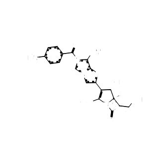 CSc1c2sc(C3=C(C(=O)[O-])N4C(=O)[C@H]([C@@H](C)O)[C@H]4[C@H]3C)c[n+]2cn1C(=O)c1ccc(NO)cc1